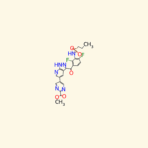 CCCS(=O)(=O)Nc1c(F)ccc(C(=O)c2n[nH]c3ncc(-c4cnc(C(=O)OC)nc4)cc23)c1F